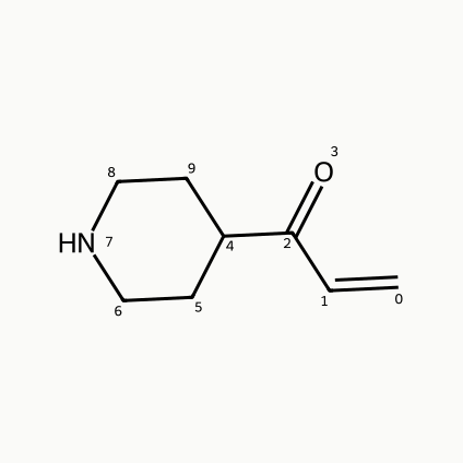 C=CC(=O)C1CCNCC1